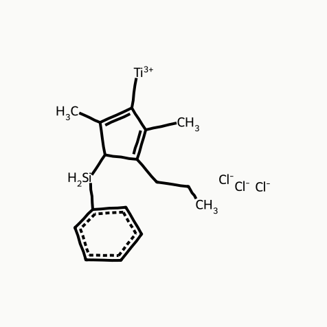 CCCC1=C(C)[C]([Ti+3])=C(C)C1[SiH2]c1ccccc1.[Cl-].[Cl-].[Cl-]